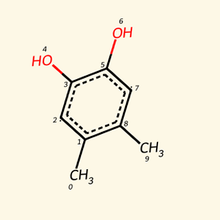 Cc1[c]c(O)c(O)[c]c1C